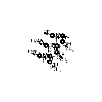 C=CC(=O)Nc1cccc(-c2c(CC)ccc3cnc(Nc4ccc(N5CCOCC5)cc4)nc23)c1.C=CC(=O)Nc1cccc(-c2c(F)ccc3cnc(Nc4ccc(N5CCN(C)CC5)cc4)nc23)c1.C=CC(=O)Nc1cccc(-c2c(F)ccc3cnc(Nc4ccc(N5CCNCC5)cc4)nc23)c1